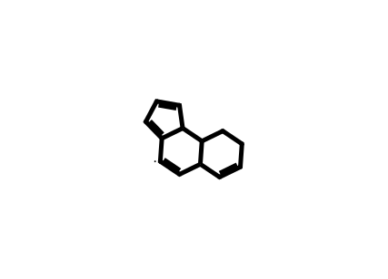 [C]1=CC2C=CCCC2C2C=CC=C12